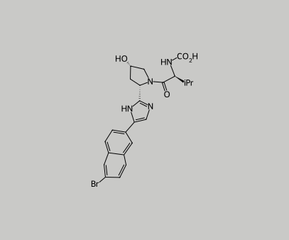 CC(C)[C@H](NC(=O)O)C(=O)N1C[C@@H](O)C[C@H]1c1ncc(-c2ccc3cc(Br)ccc3c2)[nH]1